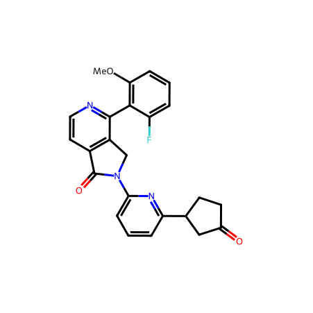 COc1cccc(F)c1-c1nccc2c1CN(c1cccc(C3CCC(=O)C3)n1)C2=O